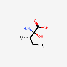 CC[C@H](C)[C@@](N)(O)C(=O)O